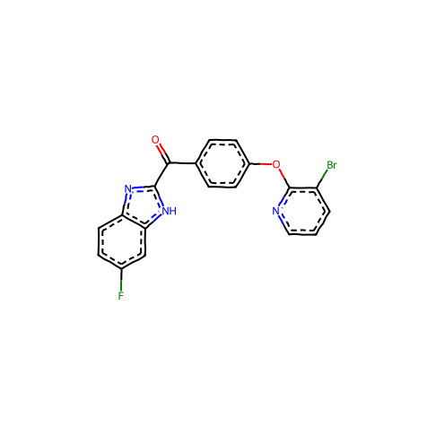 O=C(c1ccc(Oc2ncccc2Br)cc1)c1nc2ccc(F)cc2[nH]1